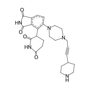 O=C1CCC(c2c(N3CCN(CC#CC4CCNCC4)CC3)ccc3c2C(=O)NC3=O)C(=O)N1